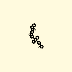 c1ccc2c(c1)ccc1c3cc4oc5ccc(-c6c7ccccc7c(-c7ccc8c(c7)sc7ccccc78)c7ccccc67)cc5c4cc3oc21